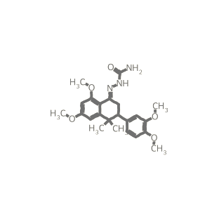 COc1cc(OC)c2c(c1)C(C)(C)C(c1ccc(OC)c(OC)c1)CC2=NNC(N)=O